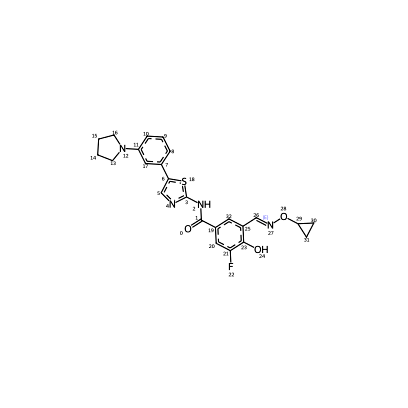 O=C(Nc1ncc(-c2cccc(N3CCCC3)c2)s1)c1cc(F)c(O)c(/C=N/OC2CC2)c1